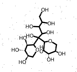 OCC(O)C(O)C(O)C(O)(C1OC[C@@H](O)[C@H](O)[C@H]1O)C1OC[C@@H](O)[C@H](O)[C@H]1O